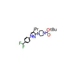 CC(C)c1cn(-c2ccc(C(F)F)cc2)nc1N1CCN(C(=O)OC(C)(C)C)CC1